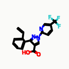 C=Cc1ccccc1-c1nn(-c2ccc(C(F)(F)F)cn2)cc1C(=O)O